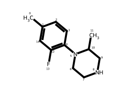 Cc1ccc(N2CCNCC2C)c(F)c1